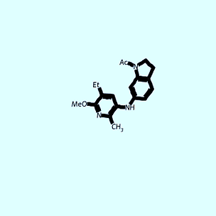 CCc1cc(Nc2ccc3c(c2)N(C(C)=O)CC3)c(C)nc1OC